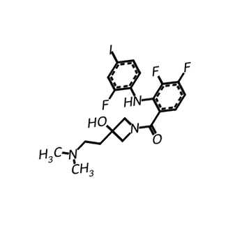 CN(C)CCC1(O)CN(C(=O)c2ccc(F)c(F)c2Nc2ccc(I)cc2F)C1